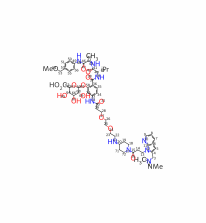 CNN(C)Cc1cc2cccnc2n1CCC(=O)N1CCC(NCCOCCOCCC(=O)Nc2ccc(C(=O)N[C@H](C(=O)N[C@@H](C)C(=O)Nc3ccc(COC)cc3)C(C)C)c(O[C@@H]3O[C@H](C(=O)O)[C@@H](O)[C@H](O)[C@H]3O)c2)CC1